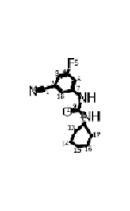 N#Cc1cc(F)cc(NC(=O)NC2CCCCC2)c1